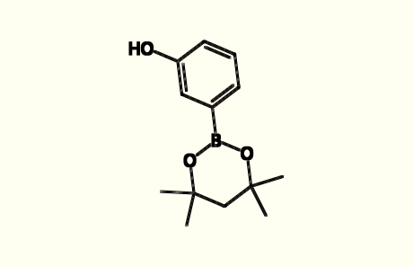 CC1(C)CC(C)(C)OB(c2cccc(O)c2)O1